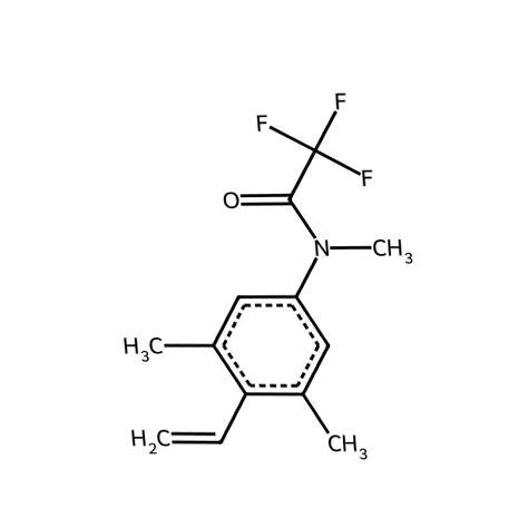 C=Cc1c(C)cc(N(C)C(=O)C(F)(F)F)cc1C